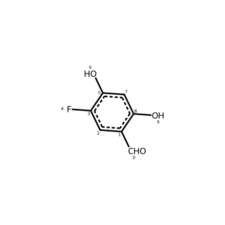 O=Cc1cc(F)c(O)cc1O